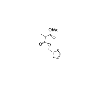 COC(=O)C(C)C(=O)OCc1cccs1